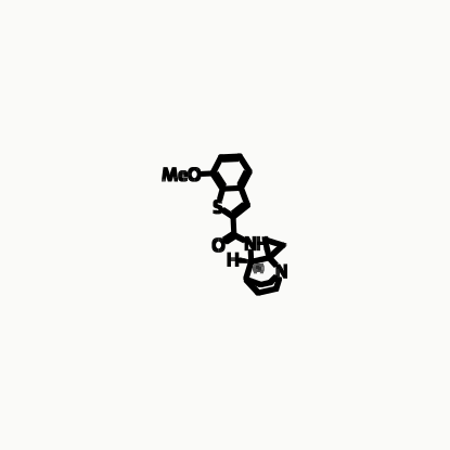 COc1cccc2cc(C(=O)N[C@H]3C4CCN(CC4)C34CC4)sc12